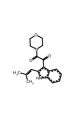 CC(C)=Cc1[nH]c2ccccc2c1C(=O)C(=O)N1CCOCC1